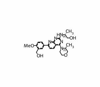 COc1ccc(-c2ccc3c(N4CCOC[C@@H]4C)nc(N[C@H](C)CO)nc3n2)cc1CO